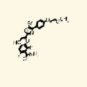 COCCOc1ccc(-c2nc(C(CO)Oc3ccc(F)c(C(N)=O)c3F)oc2Br)cc1